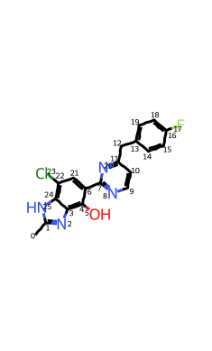 Cc1nc2c(O)c(-c3nccc(Cc4ccc(F)cc4)n3)cc(Cl)c2[nH]1